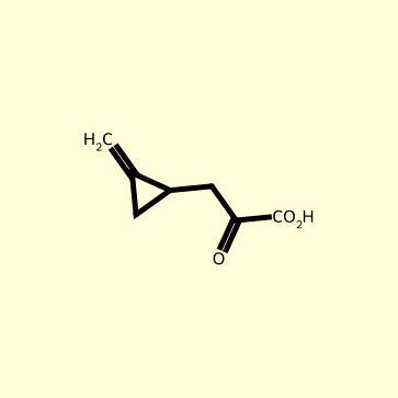 C=C1CC1CC(=O)C(=O)O